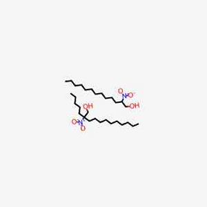 CCCCCCCCCCC(CO)(CCCCC)[N+](=O)[O-].CCCCCCCCCCCC(CO)[N+](=O)[O-]